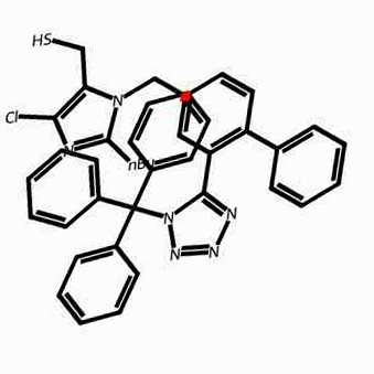 CCCCc1nc(Cl)c(CS)n1Cc1ccc(-c2ccccc2)c(-c2nnnn2C(c2ccccc2)(c2ccccc2)c2ccccc2)c1